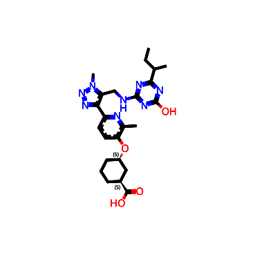 CCC(C)c1nc(O)nc(NCc2c(-c3ccc(O[C@H]4CCC[C@H](C(=O)O)C4)c(C)n3)nnn2C)n1